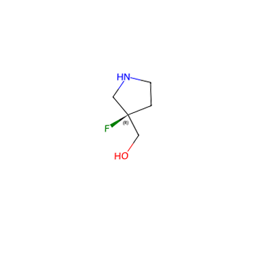 OC[C@@]1(F)CCNC1